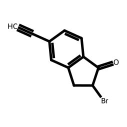 C#Cc1ccc2c(c1)CC(Br)C2=O